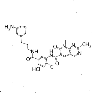 Cc1ncc2cc(C(=O)Nc3cc(C(=O)NCCCc4cccc(N)c4)ccc3Cl)c(=O)[nH]c2n1.Cl